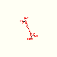 CC(C)(O)C(=O)c1ccc(C(OCCOCCOCCOCCOCCOCCOCCOCCOCCOC(c2ccc(C(=O)C(C)(C)O)cc2)c2ccc(C(=O)C(C)(C)O)cc2)c2ccc(C(=O)C(C)(C)O)cc2)cc1